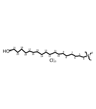 C[N+](C)(C)CCCCCCCCCCCCCCCCCCO.[Cl-]